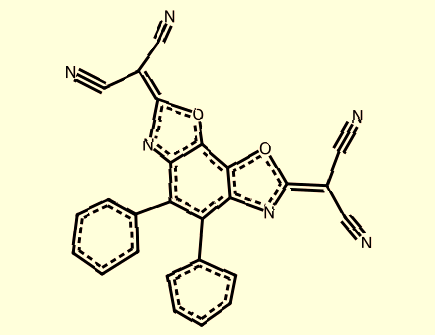 N#CC(C#N)=c1nc2c(-c3ccccc3)c(-c3ccccc3)c3nc(=C(C#N)C#N)oc3c2o1